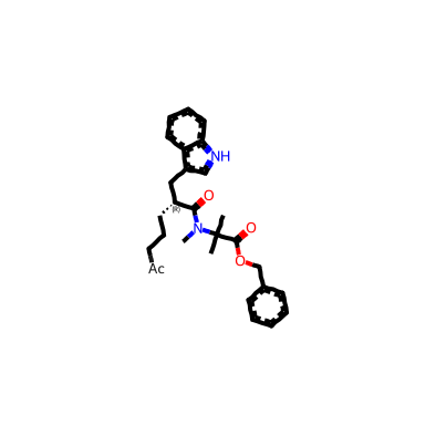 CC(=O)CCC[C@H](Cc1c[nH]c2ccccc12)C(=O)N(C)C(C)(C)C(=O)OCc1ccccc1